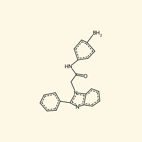 Bc1ccc(NC(=O)Cn2c(-c3ccccc3)nc3ccccc32)cc1